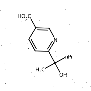 CCCC(C)(O)c1ccc(C(=O)O)cn1